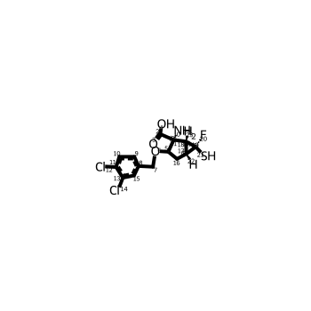 N[C@@]1(C(=O)O)C(OCc2ccc(Cl)c(Cl)c2)C[C@@H]2[C@H]1[C@@]2(F)S